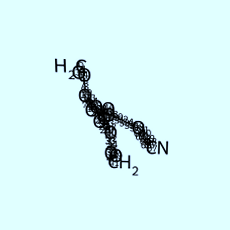 C=CC(=O)OCCCCCCOc1ccc(C(=O)Oc2ccc(OC(=O)c3ccc(OCCCCCCOC(=O)C=C)cc3)c(C(=O)OCCCCCCCCCCOc3ccc(-c4ccc(C#N)cc4)cc3)c2)cc1